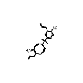 C=CC/C1=C(N)/C=C\C(C(C)(C)c2ccc(N=O)c(CC=C)c2)C#CC1